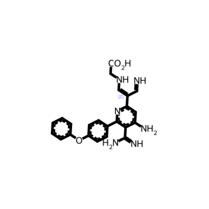 N=C/C(=C\NCC(=O)O)c1cc(N)c(C(=N)N)c(-c2ccc(Oc3ccccc3)cc2)n1